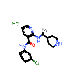 CC(C)C(Nc1ncccc1C(=O)Nc1cccc(Cl)c1)C1CCNCC1.Cl